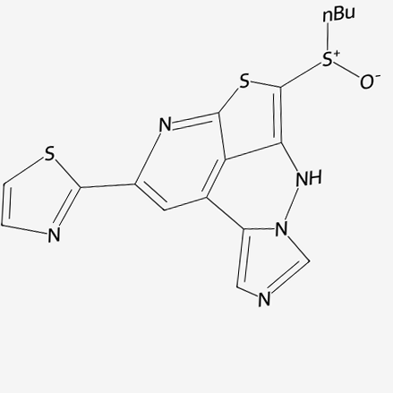 CCCC[S+]([O-])c1sc2nc(-c3nccs3)cc3c2c1[nH]n1cncc31